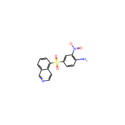 Nc1ccc(S(=O)(=O)c2cccc3cnccc23)cc1[N+](=O)[O-]